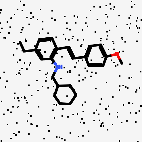 CCc1ccc(C=Cc2ccc(OC)cc2)c(NCC2CCCCC2)c1